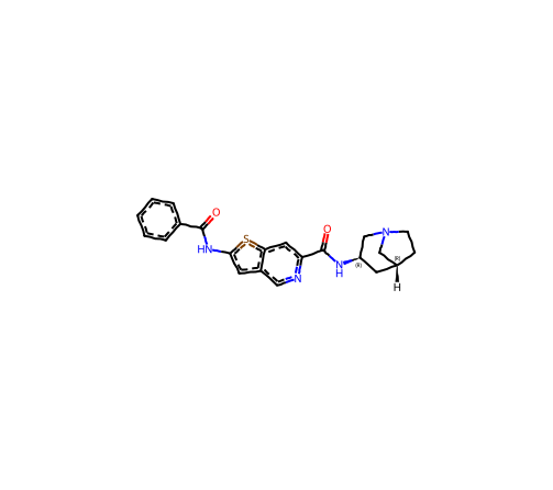 O=C(Nc1cc2cnc(C(=O)N[C@@H]3C[C@H]4CCN(C4)C3)cc2s1)c1ccccc1